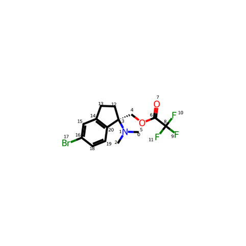 CN(C)[C@]1(COC(=O)C(F)(F)F)CCc2cc(Br)ccc21